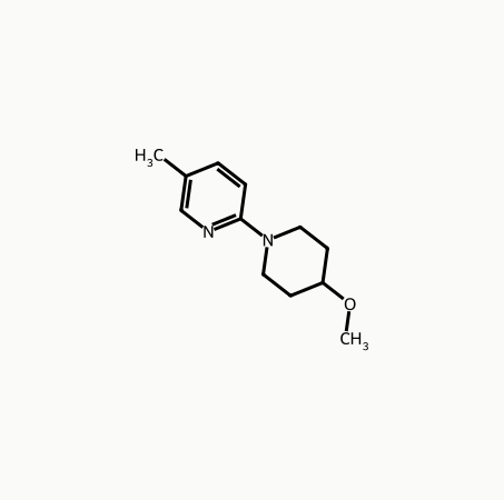 COC1CCN(c2ccc(C)cn2)CC1